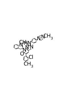 Cc1ccc(-c2cc3cnc(Nc4ccc(N5CCN(C)CC5)cc4)nc3n(C3Cc4ccccc4N(C)C3)c2=O)c(Cl)c1